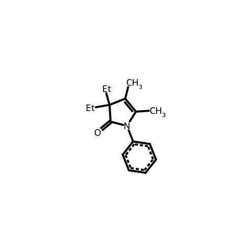 CCC1(CC)C(=O)N(c2ccccc2)C(C)=C1C